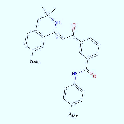 COc1ccc(NC(=O)c2cccc(C(=O)/C=C3\NC(C)(C)Cc4ccc(OC)cc43)c2)cc1